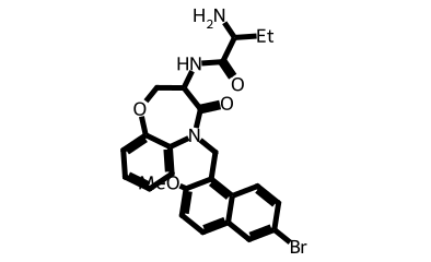 CCC(N)C(=O)NC1COc2ccccc2N(Cc2c(OC)ccc3cc(Br)ccc23)C1=O